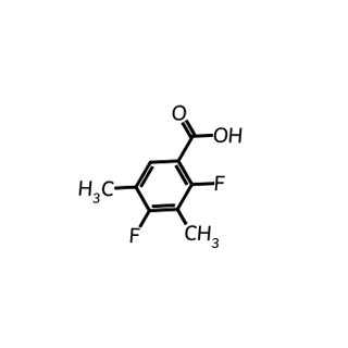 Cc1cc(C(=O)O)c(F)c(C)c1F